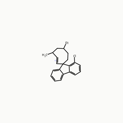 CCC1CCC2(/C=C/C(C)C1)c1ccccc1-c1cccc(Cl)c12